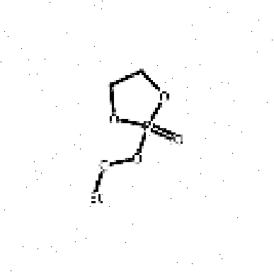 CCOOP1(=O)OCCO1